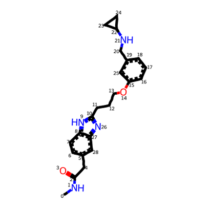 CNC(=O)Cc1ccc2[nH]c(CCCOc3cccc(CNC4CC4)c3)nc2c1